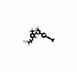 CC(C)(Cc1ccc(C(F)(F)F)c(-c2nc(-c3ccc(C#CC4CC4)nc3)cc(=O)[nH]2)c1F)C(N)=O